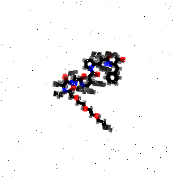 C=CCOCCOCCOCC(=O)N(C)C(C(=O)N[C@H](C(=O)N(C)[C@@H](C(C)CC)[C@@H](CC(=O)N1CCC[C@H]1[C@H](OC)[C@@H](C)C(=O)NC(Cc1ccccc1)C(=O)OC)OC)C(C)C)C(C)C